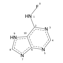 FNc1ncnc2nc[nH]c12